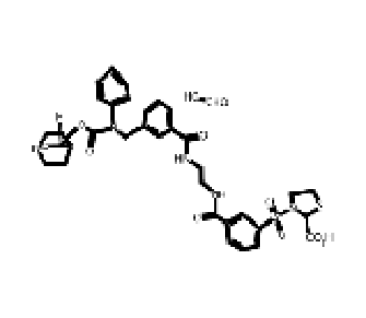 O=C(NCCNC(=O)c1cccc(S(=O)(=O)N2CCS[C@H]2C(=O)O)c1)c1cccc(CN(C(=O)O[C@H]2CN3CCC2CC3)c2ccccc2)c1.O=CO